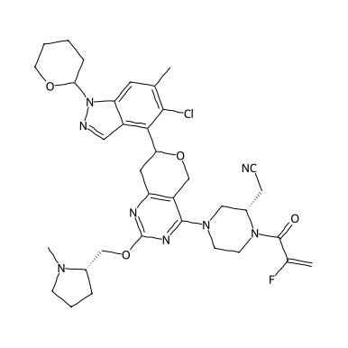 C=C(F)C(=O)N1CCN(c2nc(OC[C@@H]3CCCN3C)nc3c2COC(c2c(Cl)c(C)cc4c2cnn4C2CCCCO2)C3)C[C@@H]1CC#N